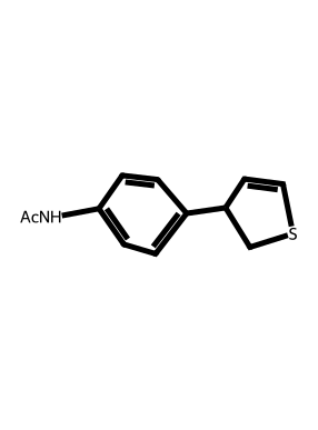 CC(=O)Nc1ccc(C2C=CSC2)cc1